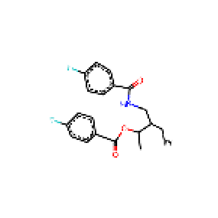 CC(C)CC(CNC(=O)c1ccc(F)cc1)C(C)OC(=O)c1ccc(F)cc1